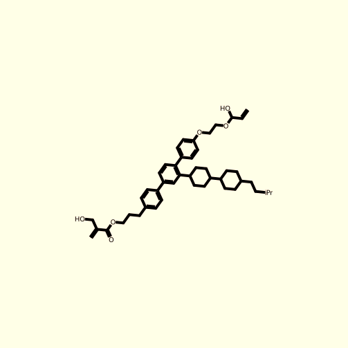 C=CC(O)OCCOc1ccc(-c2ccc(-c3ccc(CCCOC(=O)C(=C)CO)cc3)cc2C2CCC(C3CCC(CCC(C)C)CC3)CC2)cc1